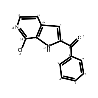 O=C(c1ccccc1)c1cc2ccnc(Cl)c2[nH]1